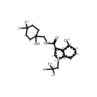 O=C(NCC1(O)CCC(F)(F)CC1)c1cn(CC(F)(F)F)c2cccc(Cl)c12